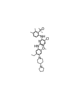 CCc1cc(Nc2ncc(Cl)c(Nc3ccc(C)c(C)c3P(C)(C)=O)n2)c(OC)cc1N1CCC(N2CCCC2)CC1